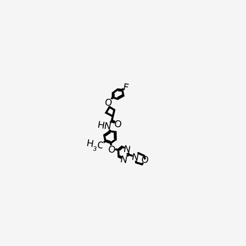 Cc1cc(NC(=O)C2CC(Oc3ccc(F)cc3)C2)ccc1Oc1cnc(N2CCOCC2)nc1